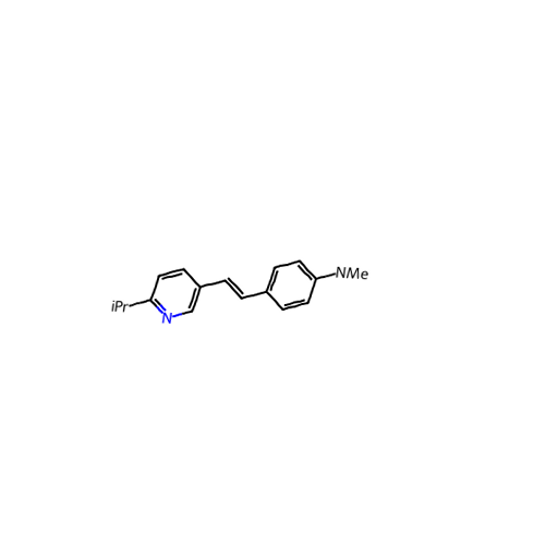 CNc1ccc(/C=C/c2ccc(C(C)C)nc2)cc1